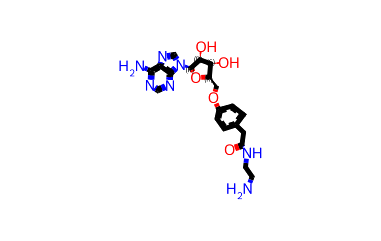 NCCNC(=O)Cc1ccc(OC[C@H]2O[C@@H](n3cnc4c(N)ncnc43)[C@H](O)[C@@H]2O)cc1